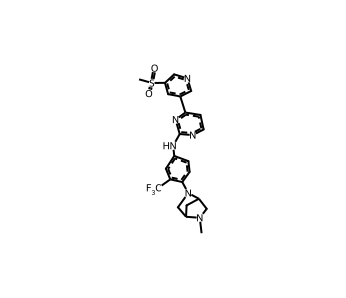 CN1CC2CC1CN2c1ccc(Nc2nccc(-c3cncc(S(C)(=O)=O)c3)n2)cc1C(F)(F)F